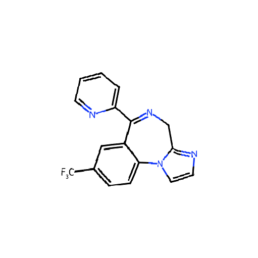 FC(F)(F)c1ccc2c(c1)C(c1ccccn1)=NCc1nccn1-2